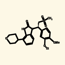 CCOc1cc([C@@H](CS(C)(=O)=O)n2c(=O)[nH]c3c(C4CCOCC4)cccc32)ccc1OC